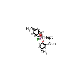 CCCCCCCCCc1cc(C)ccc1OP(F)Oc1c2cc(C)cc1CC(CCCCCCC)C2